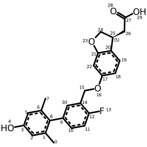 Cc1cc(O)cc(C)c1-c1ccc(F)c(COc2ccc3c(c2)OC[C@H]3CC(=O)O)c1